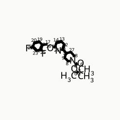 CC(C)(C)OC(=O)N1CCC(c2cccc(OCc3ccc(F)cc3F)n2)CC1